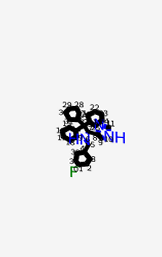 Fc1ccc(CNC(c2c[nH]cn2)C(c2ccccc2)(c2ccccc2)c2ccccc2)cc1